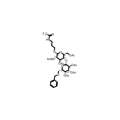 CC(=O)N[C@@H]1[C@@H](OCCCNC(=O)C(F)(F)F)O[C@@H](COC(C)=O)[C@H](O[C@H]2O[C@@H](COCc3ccccc3)[C@@H](OC(C)=O)[C@@H](OC(C)=O)[C@@H]2OC(C)=O)[C@H]1OC(C)=O